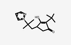 CC(C)(C)C1=C(O)C(CC(C)(C)n2cccn2)CC1=O